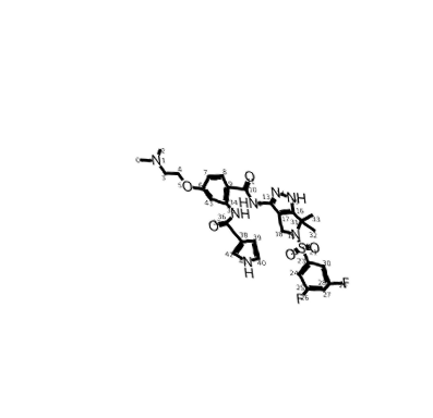 CN(C)CCOc1ccc(C(=O)Nc2n[nH]c3c2CN(S(=O)(=O)c2cc(F)cc(F)c2)C3(C)C)c(NC(=O)c2cc[nH]c2)c1